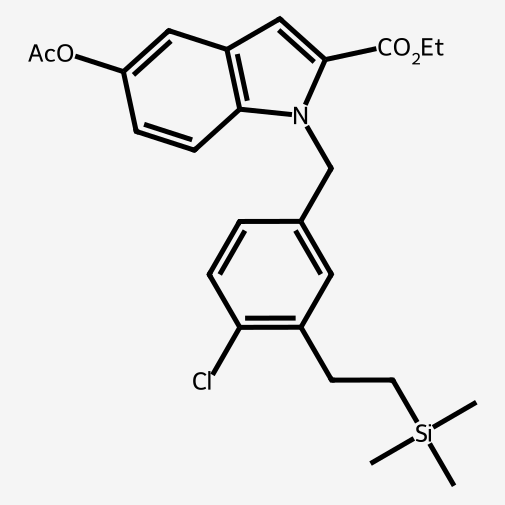 CCOC(=O)c1cc2cc(OC(C)=O)ccc2n1Cc1ccc(Cl)c(CC[Si](C)(C)C)c1